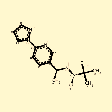 C[C@H](N[S@+]([O-])C(C)(C)C)c1ccc(-n2cccn2)nc1